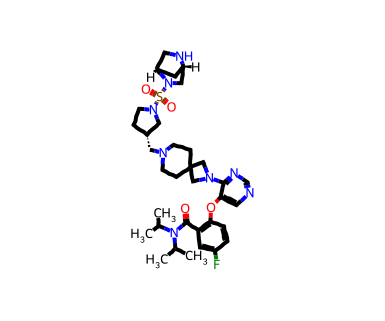 CC(C)N(C(=O)c1cc(F)ccc1Oc1cncnc1N1CC2(CCN(C[C@@H]3CCN(S(=O)(=O)N4C[C@@H]5C[C@H]4CN5)C3)CC2)C1)C(C)C